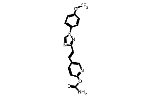 NC(=O)Oc1ccc(C=Cc2ncn(-c3ccc(OC(F)(F)F)cc3)n2)cn1